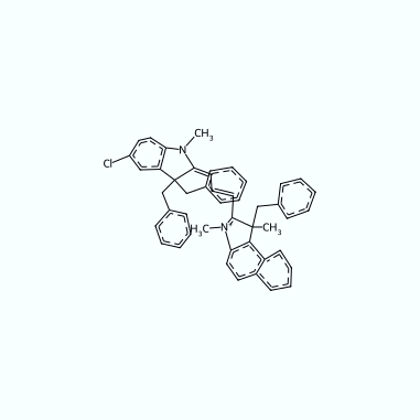 CN1/C(=C/C=C/C2=[N+](C)c3ccc4ccccc4c3C2(C)Cc2ccccc2)C(Cc2ccccc2)(Cc2ccccc2)c2cc(Cl)ccc21